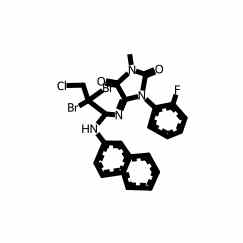 CN1C(=O)C(=NC(Nc2ccc3ccccc3c2)C(Br)(Br)CCl)N(c2ccccc2F)C1=O